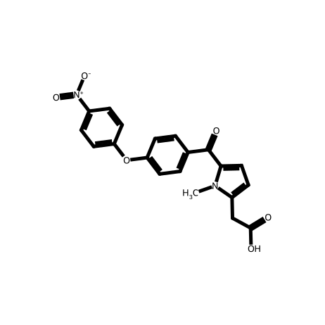 Cn1c(CC(=O)O)ccc1C(=O)c1ccc(Oc2ccc([N+](=O)[O-])cc2)cc1